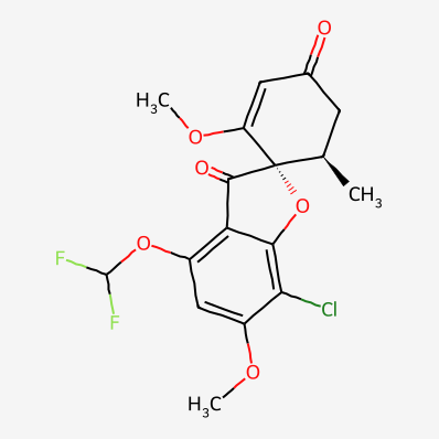 COC1=CC(=O)C[C@@H](C)[C@]12Oc1c(Cl)c(OC)cc(OC(F)F)c1C2=O